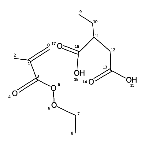 C=C(C)C(=O)OOCC.CCC(CC(=O)O)C(=O)O